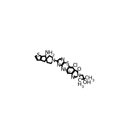 CC(C)(O)Cn1cnc2ccc(Sc3ncc(N4CCC5(CC4)Cc4ccsc4[C@H]5N)nc3N)c(Cl)c2c1=O